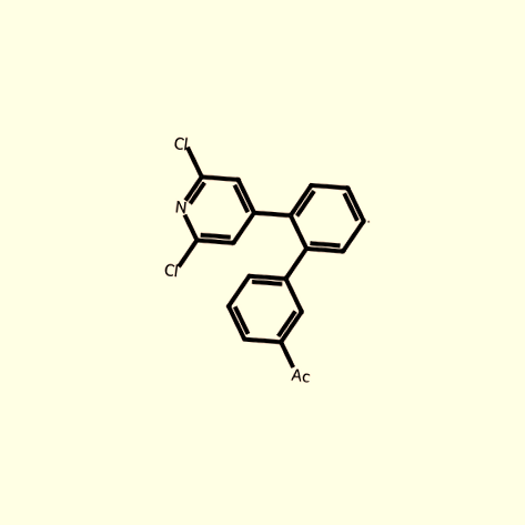 CC(=O)c1cccc(-c2c[c]ccc2-c2cc(Cl)nc(Cl)c2)c1